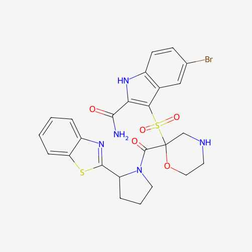 NC(=O)c1[nH]c2ccc(Br)cc2c1S(=O)(=O)C1(C(=O)N2CCCC2c2nc3ccccc3s2)CNCCO1